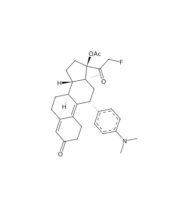 CC(=O)O[C@]1(C(=O)CF)CC[C@H]2[C@@H]3CCC4=CC(=O)CCC4=C3[C@@H](c3ccc(N(C)C)cc3)C[C@@]21C